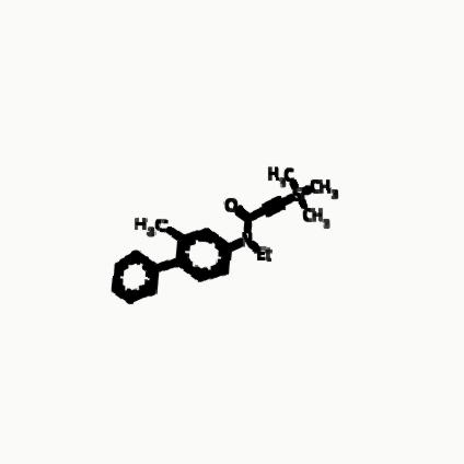 CCN(C(=O)C#C[Si](C)(C)C)c1ccc(-c2ccccc2)c(C)c1